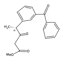 COC(=O)CC(=O)[C@H](C)c1cccc(C(=O)c2ccccc2)c1